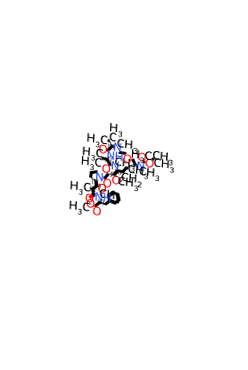 C=C(CC)[C@@H]([C@@H](CC(=O)N1CCC[C@H]1[C@H](OC)[C@@H](C)C(=O)N[C@@H](Cc1ccccc1)C(=O)OC)OC)N(C)C(=O)[C@@H](NC(=O)[C@H](C(C)C)N(C)CCOCCN(C)C(=O)OC(C)(C)C)C(C)C